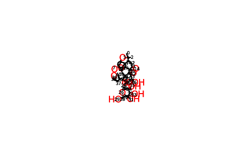 CC1(C)OC2CC(=O)OCC23C1CC(=O)C1(C)C3CC[C@@](C)(C(OC[C@H]2OC(CO)[C@H](O)C(O)C2O)c2ccoc2)C12OC2C(=O)O